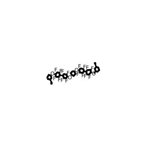 C#Cc1cccc(Oc2c(F)c(F)c(-c3c(F)c(F)c(Oc4ccc(Oc5c(F)c(F)c(-c6c(F)c(F)c(Oc7cccc(C#C)c7)c(F)c6F)c(F)c5F)cc4)c(F)c3F)c(F)c2F)c1